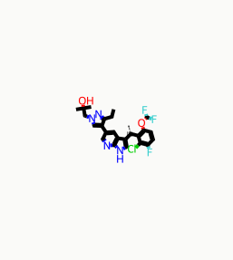 CCc1nn(CC(C)(C)O)cc1-c1cnc2[nH]cc([C@H](C)c3c(OC(F)F)ccc(F)c3Cl)c2c1